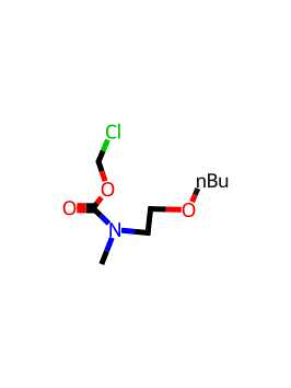 CCCCOCCN(C)C(=O)OCCl